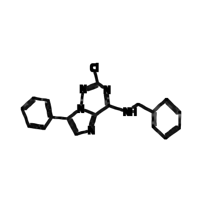 Clc1nc(NCc2ccccc2)c2ncc(-c3ccccc3)n2n1